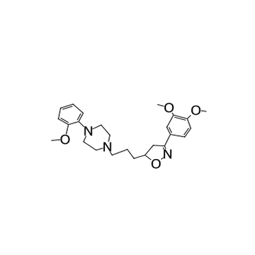 COc1ccc(C2=NOC(CCCN3CCN(c4ccccc4OC)CC3)C2)cc1OC